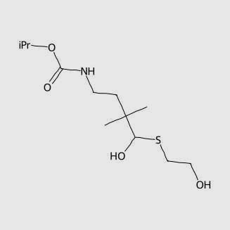 CC(C)OC(=O)NCCC(C)(C)C(O)SCCO